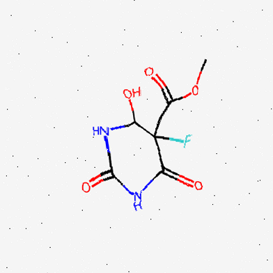 COC(=O)C1(F)C(=O)NC(=O)NC1O